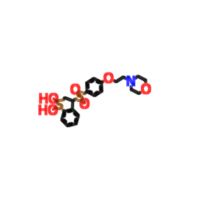 O=S(=O)(c1ccc(OCCN2CCOCC2)cc1)C1CS(O)(O)c2ccccc21